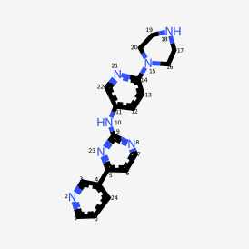 c1cncc(-c2ccnc(Nc3ccc(N4CCNCC4)nc3)n2)c1